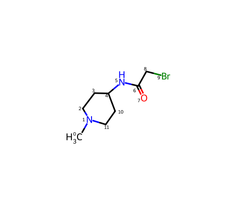 CN1CCC(NC(=O)CBr)CC1